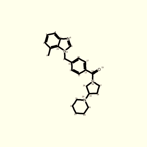 Cc1cccc2ncn(Cc3ccc(C(=O)N4CCC(N5CCCCC5)C4)cc3)c12